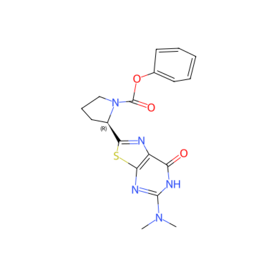 CN(C)c1nc2sc([C@H]3CCCN3C(=O)Oc3ccccc3)nc2c(=O)[nH]1